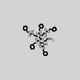 NCCC[C@H](NC(=O)OCc1ccccc1)C(=O)N(C(=O)OCc1ccccc1)C(=O)[C@H](CCCNC(=O)OCc1ccccc1)N(CCNC(=O)OCc1ccccc1)C(=O)OCc1ccccc1